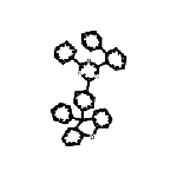 c1ccc(-c2nc(-c3ccc(C4(c5ccccc5)c5ccccc5Oc5ccccc54)cc3)nc(-c3ccccc3-c3ccccc3)n2)cc1